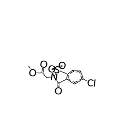 COC(=O)CN1C(=O)c2cc(Cl)ccc2S1(=O)=O